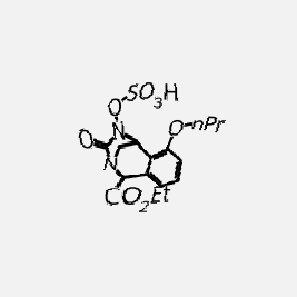 CCCOc1cccc2c1C1CN(C(=O)N1OS(=O)(=O)O)C2C(=O)OCC